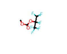 COC(=O)OC(F)(C(F)F)C(F)(F)F